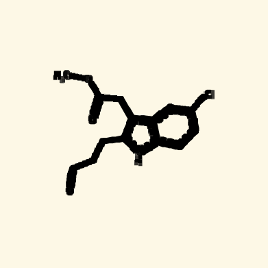 COC(=O)Cc1c(CCC=O)[nH]c2ccc(Cl)cc12